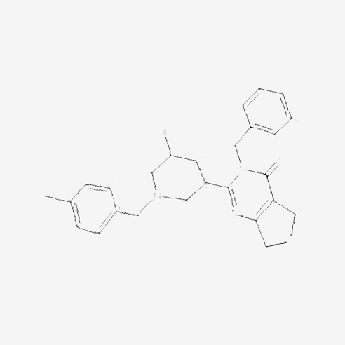 Cc1ccc(CN2CC(c3nc4c(c(=O)n3Cc3ccccc3)CSC4)CC(C(C)C)C2)cc1